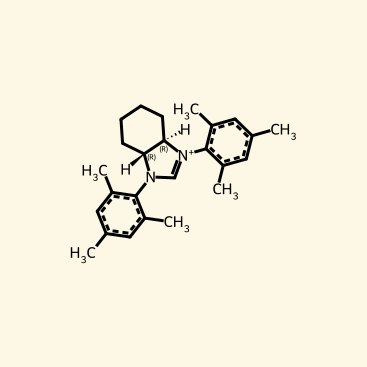 Cc1cc(C)c(N2C=[N+](c3c(C)cc(C)cc3C)[C@@H]3CCCC[C@H]32)c(C)c1